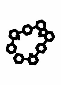 c1ccc(-c2cccc(-c3ccc(-c4cccc5c4sc4c(-c6ccc(-c7cccc(-c8ccccc8)n7)cc6)cccc45)cc3)n2)cc1